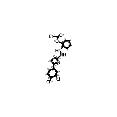 CCC(=O)Oc1ccccc1NNc1nc(-c2ccc(Cl)c(Cl)c2)cs1